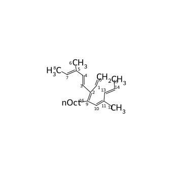 C=CC(C=CC(C)=CC)=C(C=C(C)C=CC)CCCCCCCC